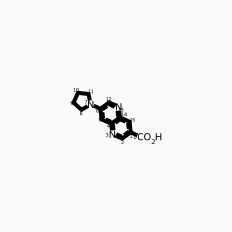 O=C(O)c1cnc2cc(N3CCCC3)cnc2c1